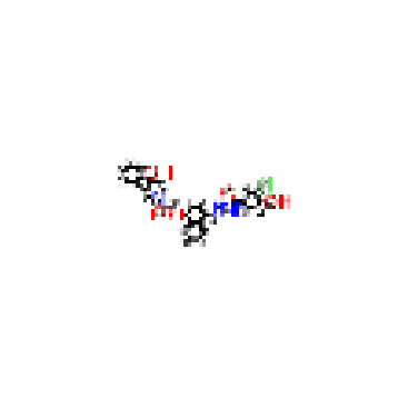 O=C(N/N=C/c1ccc(OCC(=O)N2CCC(O)(c3ccccc3)CC2)c2ccccc12)c1ccc(O)c(Cl)c1